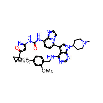 COc1ccc(CNc2ncnc3c2c(-c2ccc(NC(=O)Nc4cc(C5(C(F)(F)F)CC5)on4)c4nccn24)cn3C2CCN(C)CC2)c(OC)c1